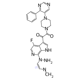 C=N/C=C\N(N)c1ncc(F)c2c(C(=O)C(=O)N3CCN(c4cncnc4-c4ccccc4)CC3)c[nH]c12